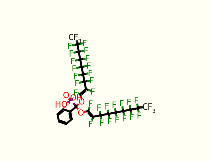 O=P(O)(O)C(OC(F)=C(F)C(F)(F)C(F)(F)C(F)(F)C(F)(F)C(F)(F)C(F)(F)C(F)(F)F)(OC(F)=C(F)C(F)(F)C(F)(F)C(F)(F)C(F)(F)C(F)(F)C(F)(F)C(F)(F)F)c1ccccc1